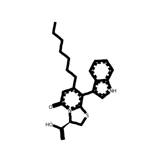 C=C(O)[C@@H]1CSc2c(-c3c[nH]c4ccccc34)c(CCCCCCC)cc(=O)n21